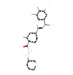 O=C(NNc1cccnc1)c1ccc(C(F)=CC(c2cc(Cl)c(Cl)c(Cl)c2)C(F)(F)F)cc1C(F)(F)F